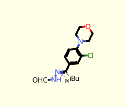 CC[C@@H](C)/C(=N\NC=O)c1ccc(N2CCOCC2)c(Cl)c1